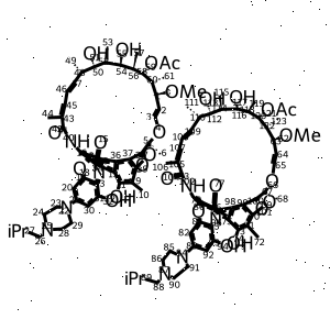 CO[C@H]1/C=C/O[C@@]2(C)Oc3c(C)c(O)c4c(=O)c(c5oc6cc(N7CCN(CC(C)C)CC7)cc(O)c6nc-5c4c3C2=O)NC(=O)/C(C)=C\C=C\[C@H](C)[C@H](O)[C@@H](C)[C@@H](O)[C@@H](C)[C@H](OC(C)=O)[C@@H]1C.CO[C@H]1/C=C/O[C@@]2(C)Oc3c(C)c(O)c4c(=O)c(c5oc6cc(N7CCN(CC(C)C)CC7)cc(O)c6nc-5c4c3C2=O)NC(=O)/C(C)=C\C=C\[C@H](C)[C@H](O)[C@@H](C)[C@@H](O)[C@@H](C)[C@H](OC(C)=O)[C@@H]1C